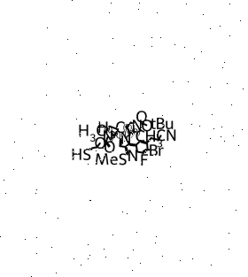 CSc1nc2c(F)c(Br)c(CCC#N)cc2c2c1cc([C@H]1CC[C@@H](C)N1C(=O)OCCS)n2[C@H]1[C@H](C)CN(C(=O)OC(C)(C)C)[C@@H]1C